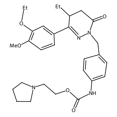 CCOc1cc(C2=NN(Cc3ccc(NC(=O)OCCN4CCCC4)cc3)C(=O)CC2CC)ccc1OC